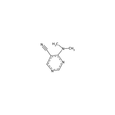 CN(C)c1ncncc1C#N